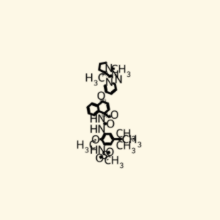 COc1c(NC(=O)N[C@@]2(C=O)C=C[C@@H](Oc3ccc4nnc([C@@]5(C)CCCN5C)n4c3)c3ccccc32)cc(C(C)(C)C)cc1NS(C)(=O)=O